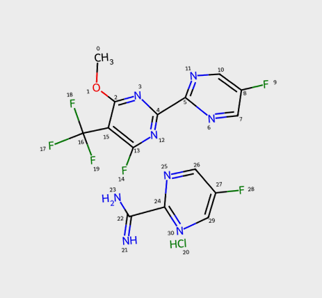 COc1nc(-c2ncc(F)cn2)nc(F)c1C(F)(F)F.Cl.N=C(N)c1ncc(F)cn1